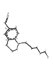 CCCCCCN1CCCc2cc(C=O)ccc21